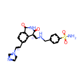 NS(=O)(=O)c1ccc(CN/C=C2\C(=O)NC(=O)c3ccc(/C=C/n4ccnc4)cc32)cc1